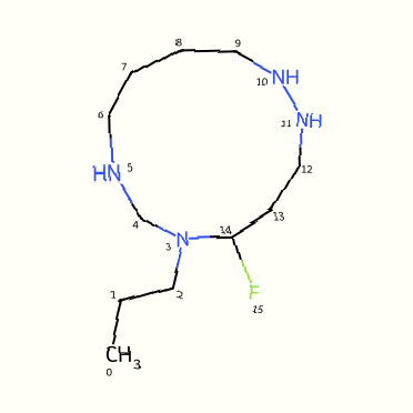 CCCN1CNCCCCNNCCC1F